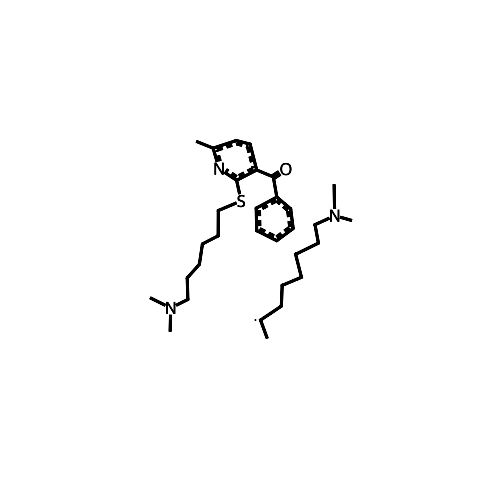 C[CH]CCCCCCN(C)C.Cc1ccc(C(=O)c2ccccc2)c(SCCCCCCN(C)C)n1